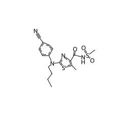 CCCCN(c1ccc(C#N)cc1)c1nc(C(=O)NS(C)(=O)=O)c(C)s1